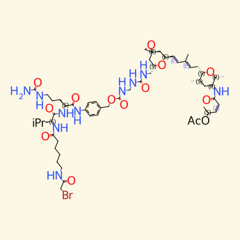 CC(=O)O[C@@H](C)/C=C\C(=O)N[C@@H]1C[C@H](C)[C@H](C/C=C(C)/C=C/[C@@H]2C[C@]3(CO3)C[C@@H](CNC(=O)NCNC(=O)OCc3ccc(NC(=O)[C@H](CCCNC(N)=O)NC(=O)[C@@H](NC(=O)CCCCCNC(=O)CBr)C(C)C)cc3)O2)O[C@@H]1C